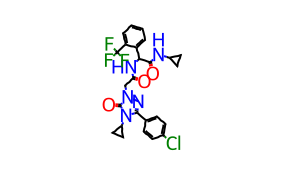 O=C(Cn1nc(-c2ccc(Cl)cc2)n(C2CC2)c1=O)NC(C(=O)NC1CC1)c1ccccc1C(F)(F)F